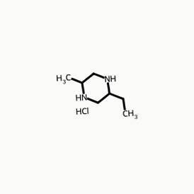 CCC1CNC(C)CN1.Cl